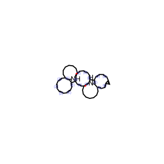 C1=C2/C=C\C=C/C(C3=C/C=C\C=C/C=C(C4=C\C=C/C=C\C=C/C=C\C5=C/4NCCCCCCCC5)\C=C/C=C\3)=C3/NCCCCCCCCC/C3=C/C=C1/2